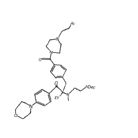 CCCCCCCCCCCCN(C)C(CC)(Cc1ccc(C(=O)N2CCN(CCC(C)=O)CC2)cc1)C(=O)c1ccc(N2CCOCC2)cc1